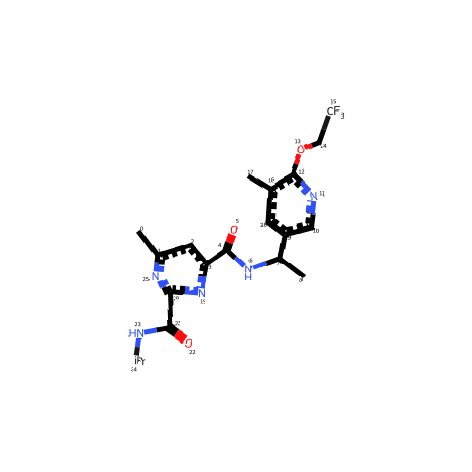 Cc1cc(C(=O)NC(C)c2cnc(OCC(F)(F)F)c(C)c2)nc(C(=O)NC(C)C)n1